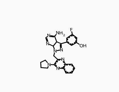 NC1=NC=NC2C1C(c1cc(O)cc(F)c1)=NN2Cc1nc2ccccc2nc1N1CCCC1